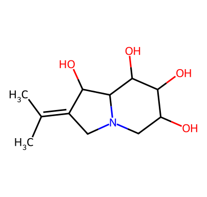 CC(C)=C1CN2CC(O)C(O)C(O)C2C1O